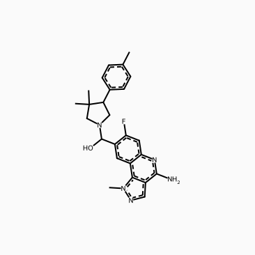 Cc1ccc(C2CN(C(O)c3cc4c(cc3F)nc(N)c3cnn(C)c34)CC2(C)C)cc1